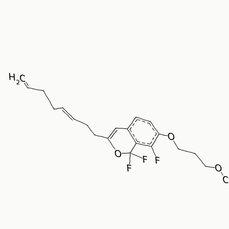 C=CCC/C=C/CCC1=Cc2ccc(OCCCOC)c(F)c2C(F)(F)O1